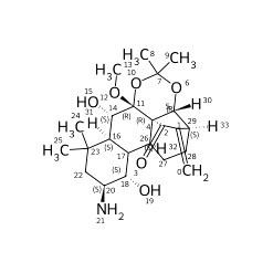 C=C1C(=O)[C@@]23[C@@H]4OC(C)(C)O[C@@]2(OC)[C@@H](O)[C@H]2C([C@H](O)[C@@H](N)CC2(C)C)[C@@H]3CC[C@@H]14